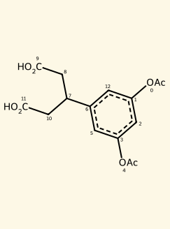 CC(=O)Oc1cc(OC(C)=O)cc(C(CC(=O)O)CC(=O)O)c1